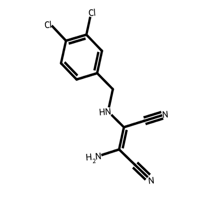 N#C/C(N)=C(\C#N)NCc1ccc(Cl)c(Cl)c1